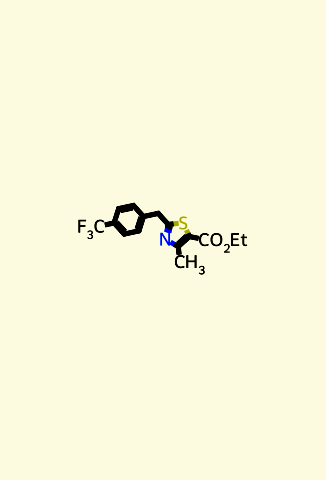 CCOC(=O)c1sc(Cc2ccc(C(F)(F)F)cc2)nc1C